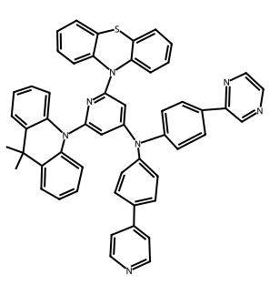 CC1(C)c2ccccc2N(c2cc(N(c3ccc(-c4ccncc4)cc3)c3ccc(-c4cnccn4)cc3)cc(N3c4ccccc4Sc4ccccc43)n2)c2ccccc21